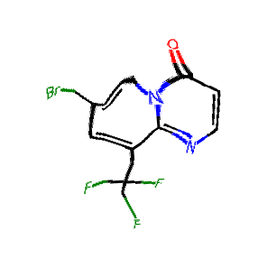 O=c1ccnc2c(C(F)(F)F)cc(Br)cn12